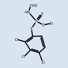 CCOP(=S)(NC=O)Sc1ccc(Cl)c(Cl)c1Cl